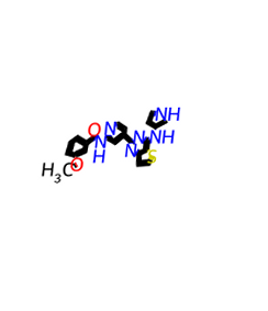 COc1cccc(C(=O)Nc2cc(-c3nc(N[C@@H]4CCNC4)c4sccc4n3)ccn2)c1